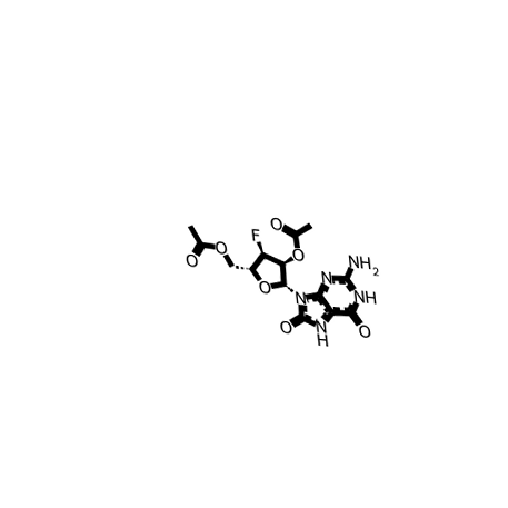 CC(=O)OC[C@H]1O[C@@H](n2c(=O)[nH]c3c(=O)[nH]c(N)nc32)[C@H](OC(C)=O)[C@@H]1F